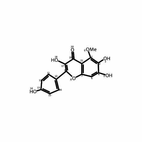 COc1c(O)c(O)cc2oc(-c3ccc(O)cc3)c(O)c(=O)c12